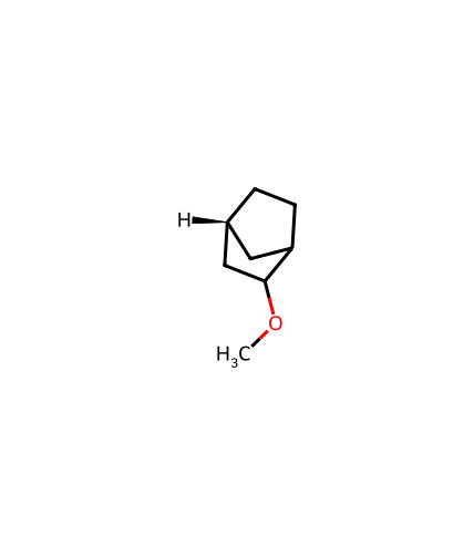 COC1C[C@@H]2CCC1C2